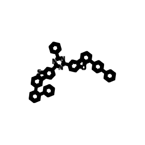 c1ccc(-c2ccc(-c3cccc4c3oc3ccc(-c5nc(-c6ccccc6)nc(-c6ccc7c(c6)sc6ccc(-c8ccccc8-c8ccccc8)cc67)n5)cc34)cc2)cc1